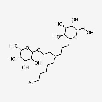 CC(=O)CCCCCN(CCC[C@H]1O[C@H](CO)[C@@H](O)[C@H](O)[C@@H]1O)CCO[C@@H]1O[C@@H](C)[C@@H](O)[C@@H](O)[C@@H]1O